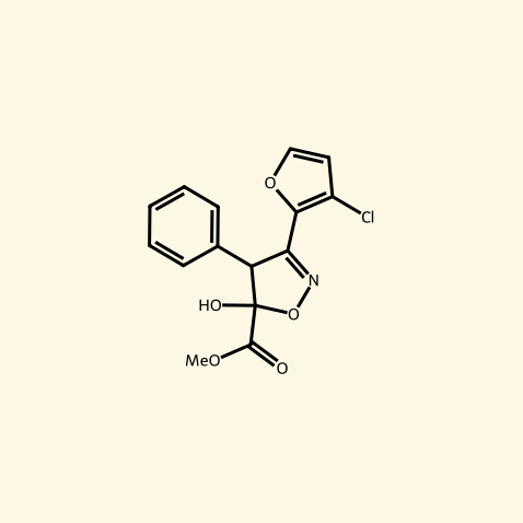 COC(=O)C1(O)ON=C(c2occc2Cl)C1c1ccccc1